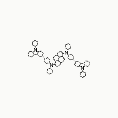 c1ccc(N(c2ccc(-c3ccc4c(c3)c3ccccc3n4-c3ccccc3)cc2)c2ccc3ccc4c(N(c5ccccc5)c5ccc(-c6ccc7c(c6)c6ccccc6n7-c6ccccc6)cc5)ccc5ccc2c3c54)cc1